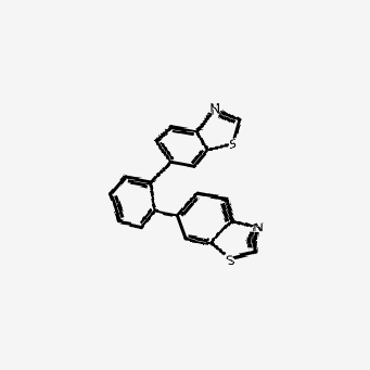 c1ccc(-c2ccc3ncsc3c2)c(-c2ccc3ncsc3c2)c1